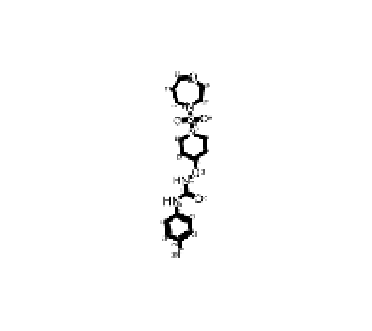 O=C(NOC1CCN(S(=O)(=O)N2CCCOCC2)CC1)Nc1ccc(F)cc1